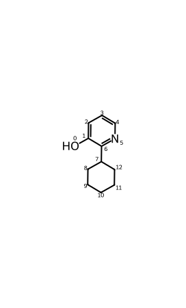 Oc1cccnc1C1CCCCC1